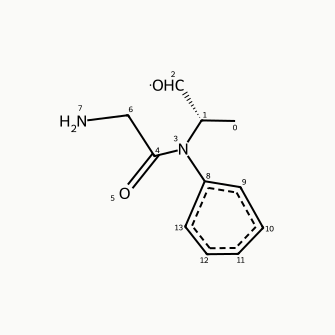 C[C@@H]([C]=O)N(C(=O)CN)c1ccccc1